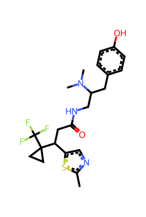 Cc1ncc(C(CC(=O)NCC(Cc2ccc(O)cc2)N(C)C)C2(C(F)(F)F)CC2)s1